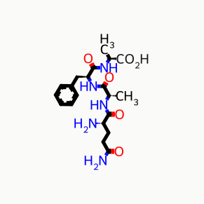 C[C@H](NC(=O)[C@H](Cc1ccccc1)NC(=O)[C@H](C)NC(=O)[C@@H](N)CCC(N)=O)C(=O)O